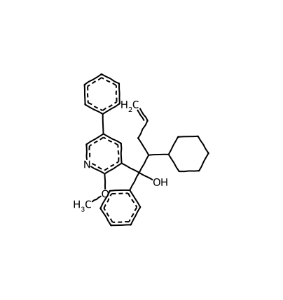 C=CCC(C1CCCCC1)C(O)(c1ccccc1)c1cc(-c2ccccc2)cnc1OC